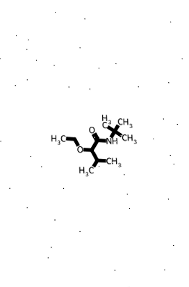 CCOC(C(=O)NC(C)(C)C)C(C)C